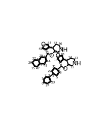 c1ccc(-c2ccc(COC3CNCCC3c3ccoc3)cc2)cc1.c1ccc2cc(COC3CNCCC3c3ccoc3)ccc2c1